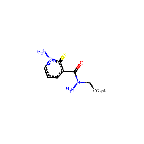 CCOC(=O)CN(N)C(=O)c1cccn(N)c1=S